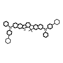 CC1(C)c2cc3cc(N(c4ccccc4)c4ccc(C5CCCCC5)cc4)ccc3cc2-c2ccc3c(sc4cc5cc(N(c6ccccc6)c6ccc(C7CCCCC7)cc6)ccc5cc43)c21